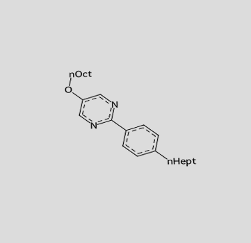 CCCCCCCCOc1cnc(-c2ccc(CCCCCCC)cc2)nc1